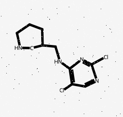 Clc1ncc(Cl)c(NCC2CCCNC2)n1